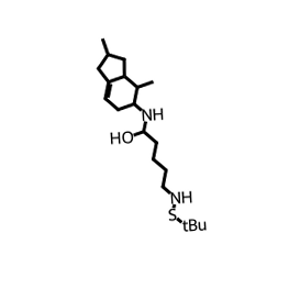 CC1CC2=CCC(NC(O)CCCCNSC(C)(C)C)C(C)C2C1